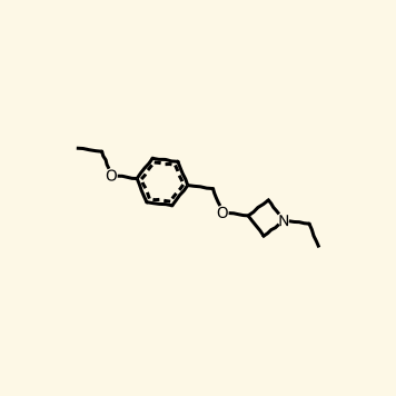 CCOc1ccc(COC2CN(CC)C2)cc1